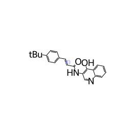 CC(C)(C)c1ccc(/C=C/C(=O)Nc2cnc3ccccc3c2O)cc1